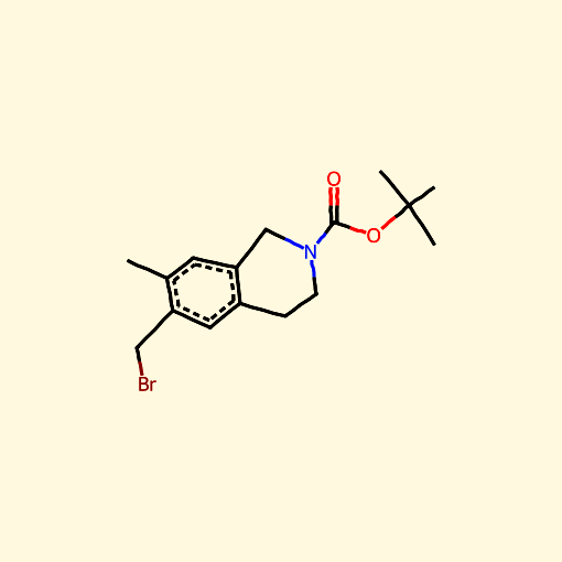 Cc1cc2c(cc1CBr)CCN(C(=O)OC(C)(C)C)C2